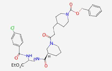 CCOC(=O)C(CNC(=O)[C@@H]1CCCN(C(=O)CCC2CCN(C(=O)OCc3ccccc3)CC2)C1)NC(=O)c1ccc(Cl)cc1